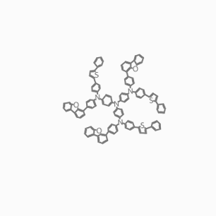 c1ccc(-c2ccc(-c3ccc(N(c4ccc(-c5cccc6c5oc5ccccc56)cc4)c4ccc(N(c5ccc(N(c6ccc(-c7ccc(-c8ccccc8)s7)cc6)c6ccc(-c7cccc8c7oc7ccccc78)cc6)cc5)c5ccc(N(c6ccc(-c7ccc(-c8ccccc8)s7)cc6)c6ccc(-c7cccc8c7oc7ccccc78)cc6)cc5)cc4)cc3)s2)cc1